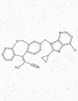 CC(C#N)=C1c2ccc(Cn3c(C4CC4)nc4c(Cl)ccnc43)cc2COc2ccccc21